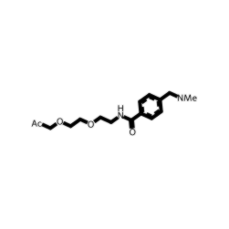 CNCc1ccc(C(=O)NCCOCCOCC(C)=O)cc1